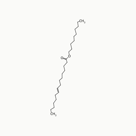 CCCCCCC=CCCCCCCCC(=O)OCCCCCCCCCC